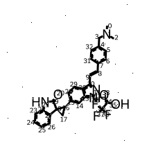 CN(C)Cc1ccc(/C=C/c2n[nH]c3cc([C@H]4C[C@@]45C(=O)Nc4ccccc45)ccc23)cc1.O=C(O)C(F)(F)F